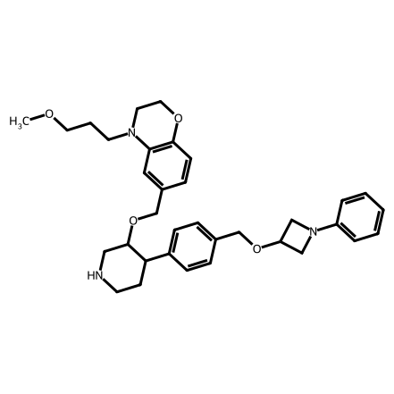 COCCCN1CCOc2ccc(COC3CNCCC3c3ccc(COC4CN(c5ccccc5)C4)cc3)cc21